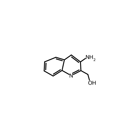 Nc1cc2ccccc2nc1CO